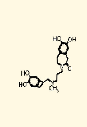 CN(CCCN1CCc2cc(O)c(O)cc2CC1=O)C[C@H]1Cc2cc(O)c(O)cc21